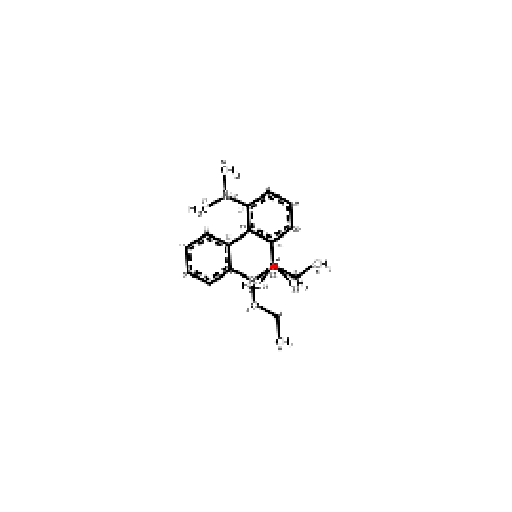 CCOP(OCC)c1ccccc1-c1c(N(C)C)cccc1N(C)C